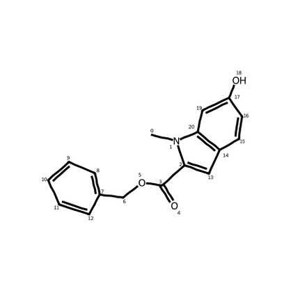 Cn1c(C(=O)OCc2ccccc2)cc2ccc(O)cc21